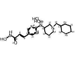 Cl.Cl.O=C(C=Cc1cnc(N[C@@H]2CCCN(CC3CCCCC3)C2)nc1)NO